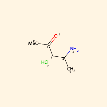 COC(=O)CC(C)N.Cl